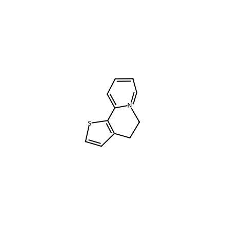 c1cc[n+]2c(c1)-c1sccc1CC2